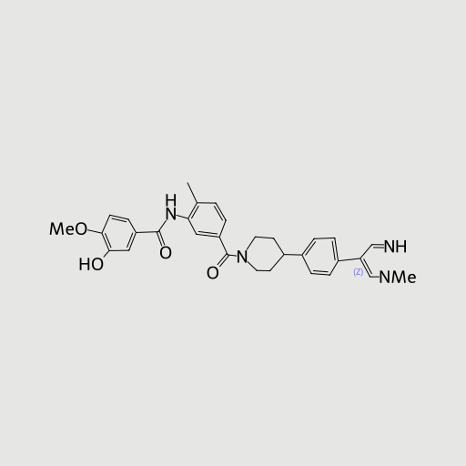 CN/C=C(\C=N)c1ccc(C2CCN(C(=O)c3ccc(C)c(NC(=O)c4ccc(OC)c(O)c4)c3)CC2)cc1